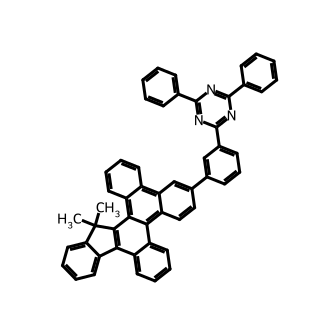 CC1(C)c2ccccc2-c2c1c1c3ccccc3c3cc(-c4cccc(-c5nc(-c6ccccc6)nc(-c6ccccc6)n5)c4)ccc3c1c1ccccc21